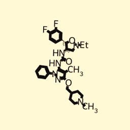 CCN1C[C@@H](NC(=O)Nc2c(C)c(OCC3CCN(C)CC3)nn2-c2ccccc2)[C@H](c2ccc(F)c(F)c2)O1